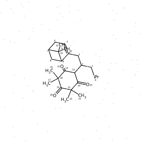 CC(C)CC(CC1=CCC2CC1C2(C)C)C1C(=O)C(C)(C)C(=O)C(C)(C)C1=O